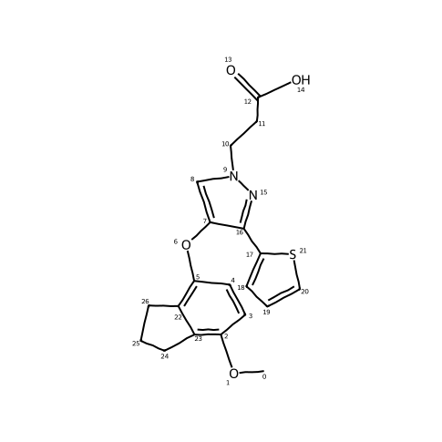 COc1ccc(Oc2cn(CCC(=O)O)nc2-c2cccs2)c2c1CCC2